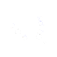 COc1cc(OCc2csc(-c3ccc(C(=O)N(C)C4CCOC4)cc3)n2)c2sc(-c3cn4nc(C)sc4n3)nc2c1